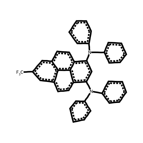 FC(F)(F)c1cc2ccc3c(N(c4ccccc4)c4ccccc4)cc(N(c4ccccc4)c4ccccc4)c4ccc(c1)c2c34